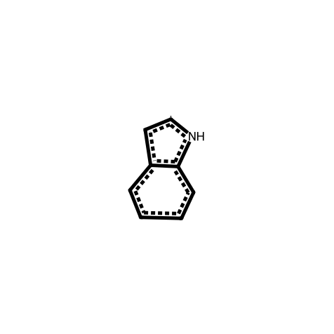 [c]1cc2ccccc2[nH]1